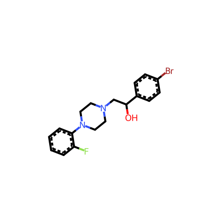 OC(CN1CCN(c2ccccc2F)CC1)c1ccc(Br)cc1